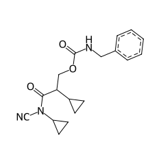 N#CN(C(=O)C(COC(=O)NCc1ccccc1)C1CC1)C1CC1